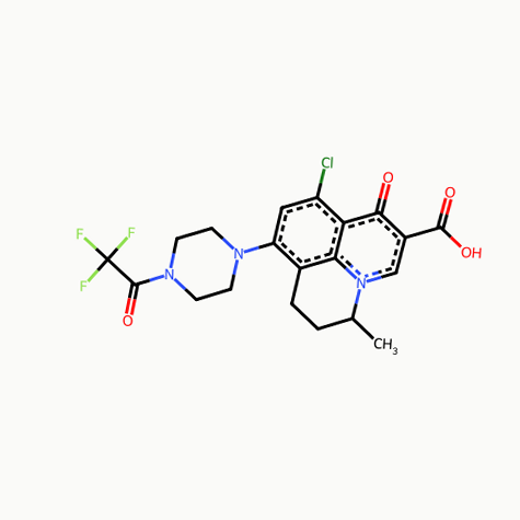 CC1CCc2c(N3CCN(C(=O)C(F)(F)F)CC3)cc(Cl)c3c(=O)c(C(=O)O)cn1c23